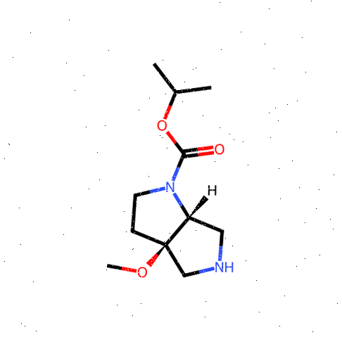 CO[C@@]12CCN(C(=O)OC(C)C)[C@@H]1CNC2